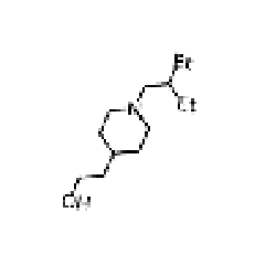 CCC(CC)CN1CCC(CCO)CC1